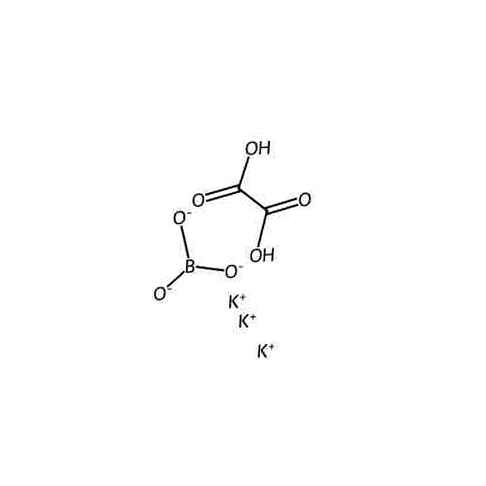 O=C(O)C(=O)O.[K+].[K+].[K+].[O-]B([O-])[O-]